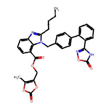 CCCCc1nc2cccc(C(=O)OCc3oc(=O)oc3C)c2n1Cc1ccc(-c2ccccc2-c2noc(=O)[nH]2)cc1